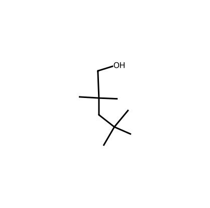 CC(C)(C)CC(C)(C)CO